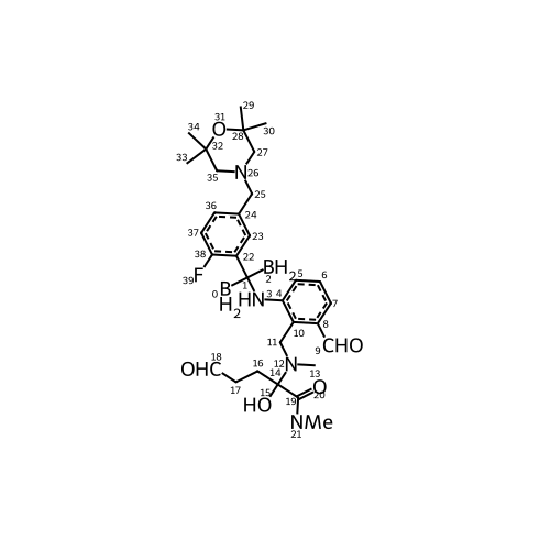 BC(B)(Nc1cccc(C=O)c1CN(C)C(O)(CCC=O)C(=O)NC)c1cc(CN2CC(C)(C)OC(C)(C)C2)ccc1F